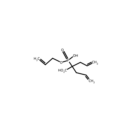 C=CCOP(=O)(O)C(CC=C)(CC=C)C(=O)O